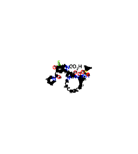 O=C1C(F)=C2CN(C(=O)O)C([C@@H]3C[C@H]4C(=O)NC5(C(=O)NS(=O)(=O)C6CC6)CC5/C=C\CCCCCCCN4C3)C2=C[C@H]1CC(=O)N1CCCCC1